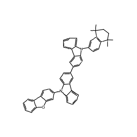 CC1(C)CCC(C)(C)c2cc(-n3c4ccccc4c4cc(-c5ccc6c(c5)c5ccccc5n6-c5ccc6c(c5)oc5ccccc56)ccc43)ccc21